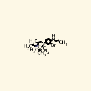 C=C/C=C\C(=C)CN(C(=O)OC(C)(C)C)c1ccc(NCCC)c(Br)c1